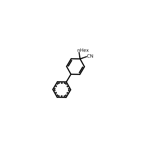 CCCCCCC1(C#N)C=CC(c2ccccc2)C=C1